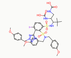 COc1ccc(CN(Cc2ccc(OC)cc2)S(=O)(=O)c2c(S(=O)(=O)NC(C(CNC(=O)O)NC(=O)O)C(C)(C)C)ccc(I)c2-c2nnn(Cc3ccc(OC)cc3)n2)cc1